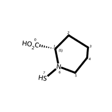 O=C(O)[C@@H]1CCCCN1S